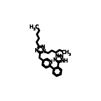 CCCCCc1nc(Cc2ccc(-c3ccccc3-c3nnn[nH]3)nc2)n(CCCCC)n1